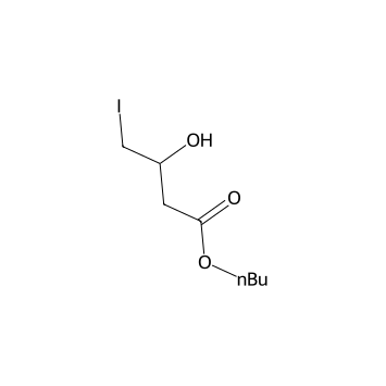 CCCCOC(=O)CC(O)CI